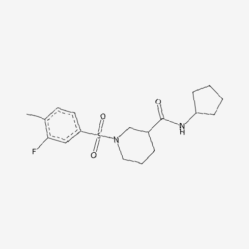 Cc1ccc(S(=O)(=O)N2CCCC(C(=O)NC3CCCC3)C2)cc1F